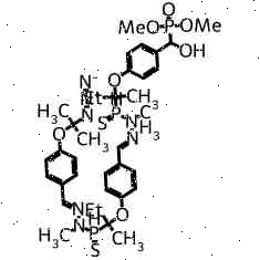 CCC(C)(Oc1ccc(/C=N/N(C)[PH](=S)C(C)(CC)Oc2ccc(C(O)P(=O)(OC)OC)cc2)cc1)[PH](=S)N(C)/N=C/c1ccc(OC(C)(C)N=[N+]=[N-])cc1